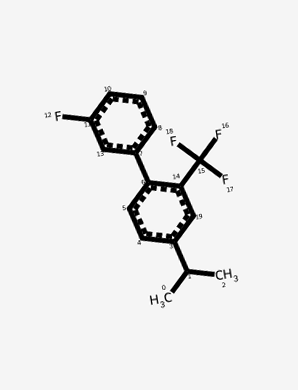 CC(C)c1ccc(-c2cccc(F)c2)c(C(F)(F)F)c1